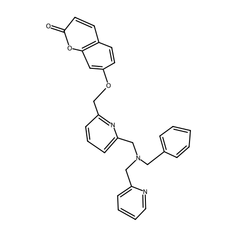 O=c1ccc2ccc(OCc3cccc(CN(Cc4ccccc4)Cc4ccccn4)n3)cc2o1